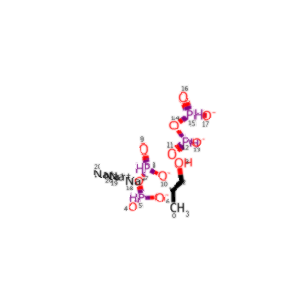 CCCO.O=[PH]([O-])O[PH](=O)[O-].O=[PH]([O-])O[PH](=O)[O-].[Na+].[Na+].[Na+].[Na+]